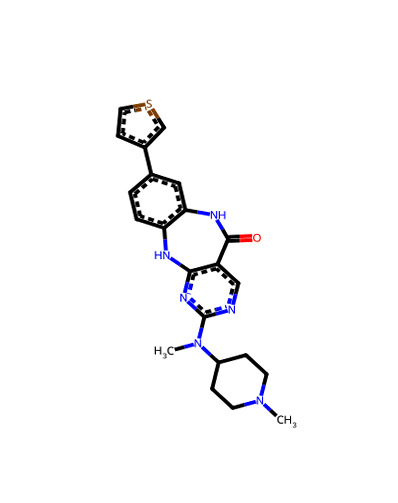 CN1CCC(N(C)c2ncc3c(n2)Nc2ccc(-c4ccsc4)cc2NC3=O)CC1